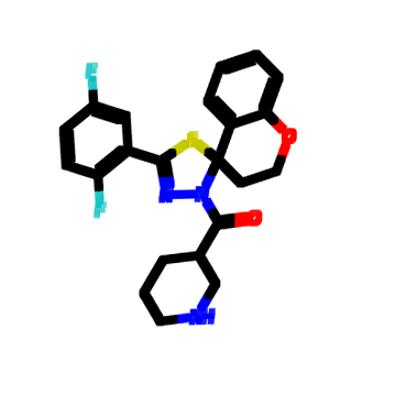 O=C(C1CCCNC1)N1N=C(c2cc(F)ccc2F)SC12CCOc1ccccc12